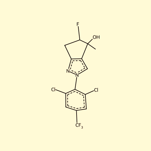 CC1(O)c2cn(-c3c(Cl)cc(C(F)(F)F)cc3Cl)nc2CC1F